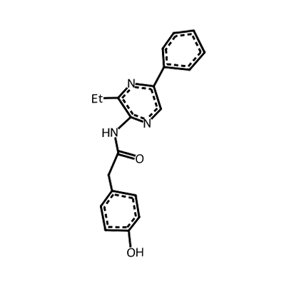 CCc1nc(-c2ccccc2)cnc1NC(=O)Cc1ccc(O)cc1